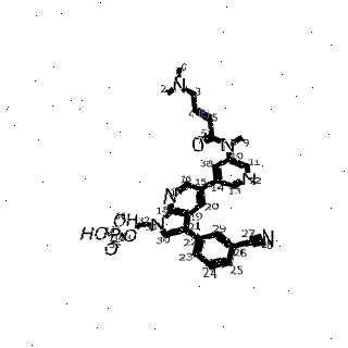 CN(C)C/C=C/C(=O)N(C)c1cncc(-c2cnc3c(c2)c(-c2cccc(C#N)c2)cn3COP(=O)(O)O)c1